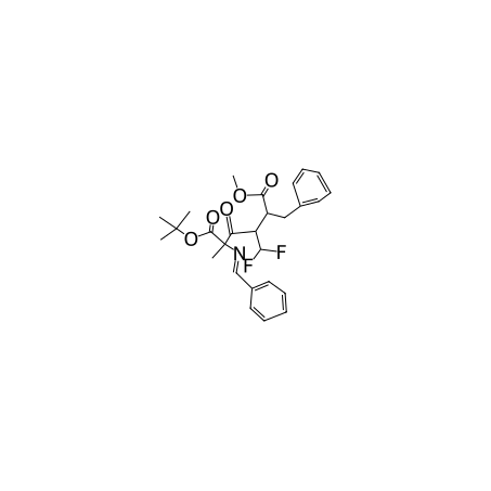 COC(=O)C(Cc1ccccc1)C(C(=O)C(C)(N=Cc1ccccc1)C(=O)OC(C)(C)C)C(F)F